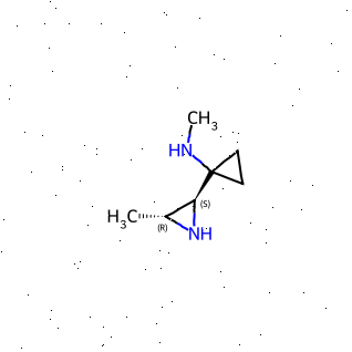 CNC1([C@H]2N[C@@H]2C)CC1